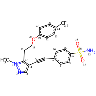 Cn1ncc(C#Cc2ccc(S(N)(=O)=O)cc2)c1CCOc1ccc(C(F)(F)F)cc1